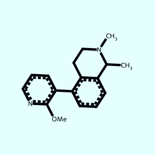 COc1ncccc1-c1cccc2c1CCN(C)C2C